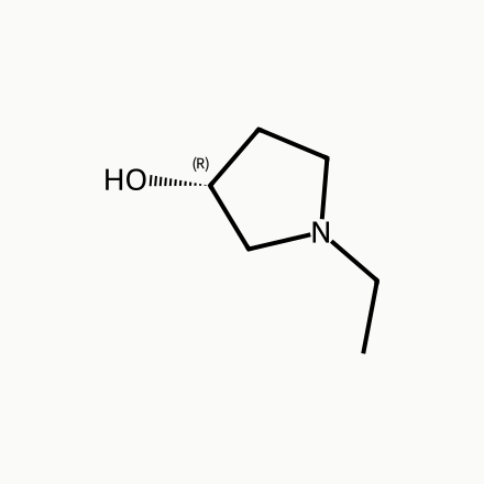 CCN1CC[C@@H](O)C1